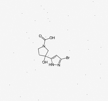 O=C(O)N1CCC(O)(c2cc(Br)n[nH]2)C1